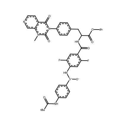 CC(C)OC(=O)C(Cc1ccc(-n2c(=O)c3ccncc3n(C)c2=O)cc1)NC(=O)c1cc(F)c(N[S+]([O-])c2ccc(NC(=O)C(C)(C)C)cc2)cc1F